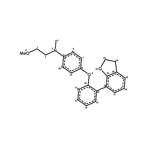 COCCN(C)c1ncc(Oc2ncccc2-c2cccc3c2OCC3)cn1